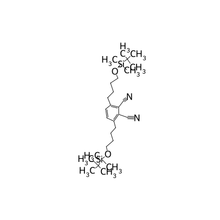 CC(C)(C)[Si](C)(C)OCCCCc1ccc(CCCCO[Si](C)(C)C(C)(C)C)c(C#N)c1C#N